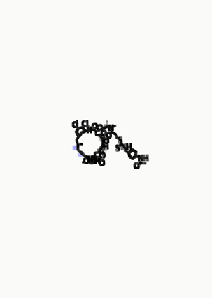 COc1cc2cc(c1Cl)N(C)C(=O)C[C@H](OC(=O)[C@H](C)N(C)C(=O)CCSC(=S)NCc1ccc(NC(C)=O)cc1)[C@]1(C)O[C@H]1[C@H](C)[C@@H]1C[C@@](O)(NC(=O)O1)[C@H](OC)/C=C/C=C(\C)C2